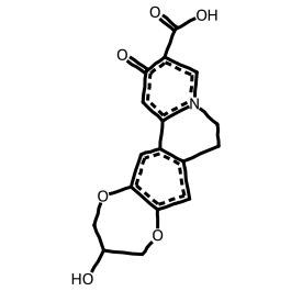 O=C(O)c1cn2c(cc1=O)-c1cc3c(cc1CC2)OCC(O)CO3